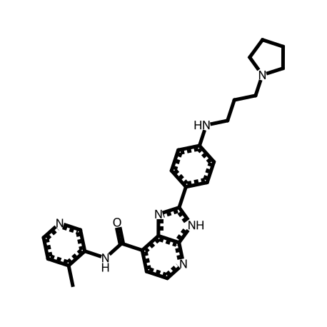 Cc1ccncc1NC(=O)c1ccnc2[nH]c(-c3ccc(NCCCN4CCCC4)cc3)nc12